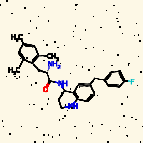 Cc1cc(C)c(C[C@H](N)C(=O)N[C@@H]2CCNc3ccc(Cc4ccc(F)cc4)cc32)c(C)c1